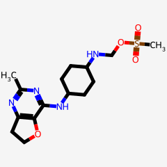 Cc1nc2c(c(NC3CCC(NCOS(C)(=O)=O)CC3)n1)OCC2